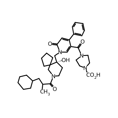 CC(CC1CCCCC1)C(=O)N1CC[C@](O)(Cn2cc(C(=O)N3CCN(C(=O)O)CC3)c(-c3ccccc3)cc2=O)C2(CCCC2)C1